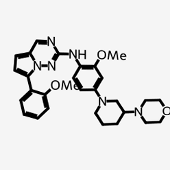 COc1cc(N2CCCC(N3CCOCC3)C2)ccc1Nc1ncc2ccc(-c3ccccc3OC)n2n1